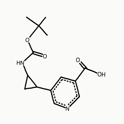 CC(C)(C)OC(=O)NC1CC1c1cncc(C(=O)O)c1